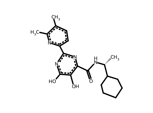 Cc1ccc(-c2nc(O)c(O)c(C(=O)N[C@H](C)C3CCCCC3)n2)nc1C